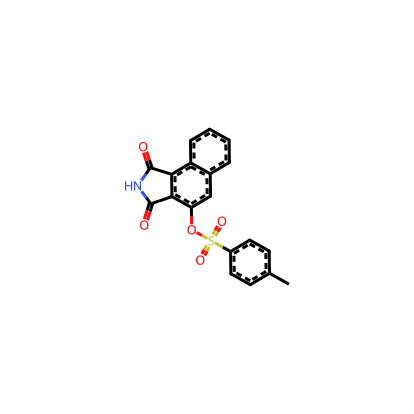 Cc1ccc(S(=O)(=O)Oc2cc3ccccc3c3c2C(=O)NC3=O)cc1